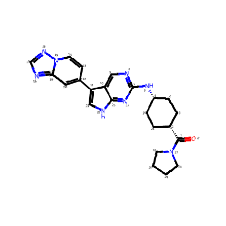 O=C([C@H]1CC[C@@H](Nc2ncc3c(-c4ccn5ncnc5c4)c[nH]c3n2)CC1)N1CCCC1